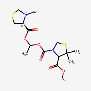 CC(=O)N1CSC[C@@H]1C(=O)OC(C)OC(=O)N1CSC(C)(C)C1C(=O)OC(C)(C)C